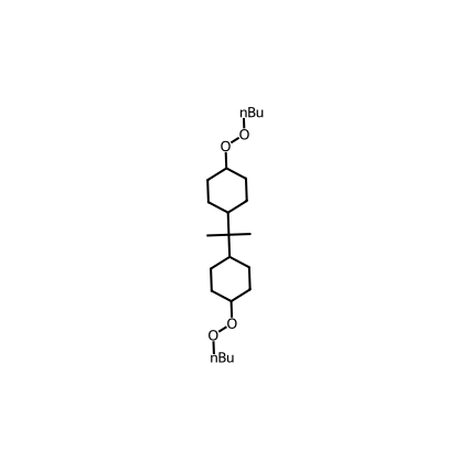 CCCCOOC1CCC(C(C)(C)C2CCC(OOCCCC)CC2)CC1